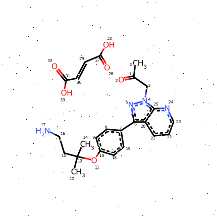 CC(=O)Cn1nc(-c2ccc(OC(C)(C)CCN)cc2)c2cccnc21.O=C(O)C=CC(=O)O